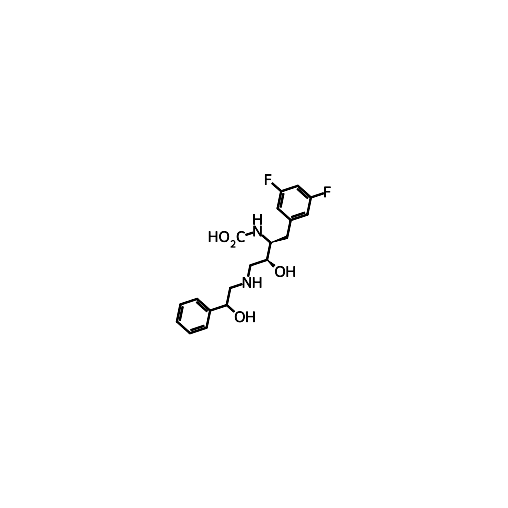 O=C(O)N[C@@H](Cc1cc(F)cc(F)c1)[C@@H](O)CNCC(O)c1ccccc1